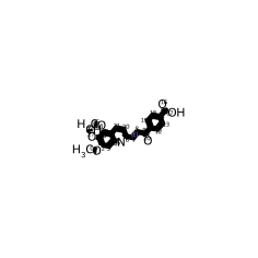 COc1cc2nc(/C=C/C(=O)c3ccc(C(=O)O)cc3)ccc2c(OC)c1OC